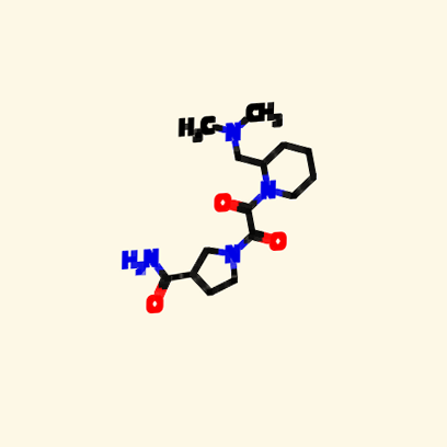 CN(C)CC1CCCCN1C(=O)C(=O)N1CCC(C(N)=O)C1